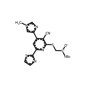 CCCC[S+]([O-])CSc1nc(-c2nccs2)cc(-c2cn(C)cn2)c1C#N